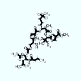 CCCC(=O)N[C@@H](CC(C)C)[C@@H](CC(=O)OC[C@@H](O)c1nc(C(=O)O[C@@H](CCCC(C)(Cl)Cl)[C@H](C)C(=O)O[C@H](c2nc(C(=O)OC)cs2)C(C)(C)O)cs1)OC(C)=O